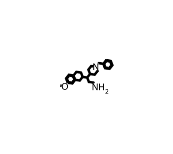 COc1ccc2c(c1)CC(C(CCN)C1CCN(Cc3ccccc3)CC1)CC2